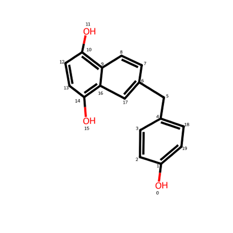 Oc1ccc(Cc2ccc3c(O)ccc(O)c3c2)cc1